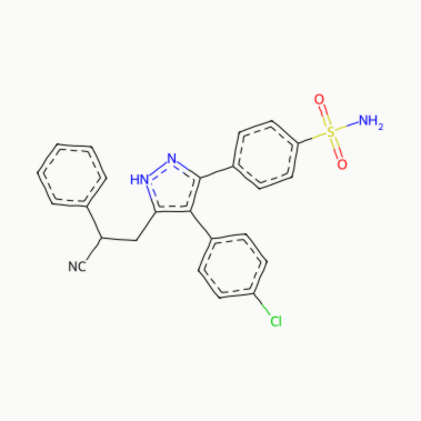 N#CC(Cc1[nH]nc(-c2ccc(S(N)(=O)=O)cc2)c1-c1ccc(Cl)cc1)c1ccccc1